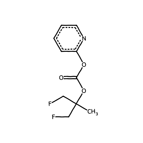 CC(CF)(CF)OC(=O)Oc1ccccn1